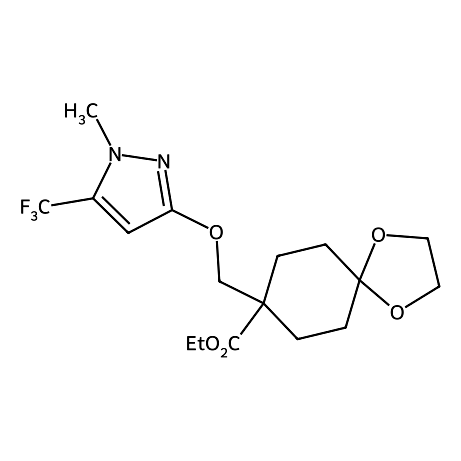 CCOC(=O)C1(COc2cc(C(F)(F)F)n(C)n2)CCC2(CC1)OCCO2